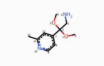 COC(CN)(OC)c1ccnc(C)c1